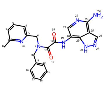 Cc1cccc(CN(Cc2ccccc2)C(=O)C(=O)Nc2cnc(N)c3cn[nH]c23)n1